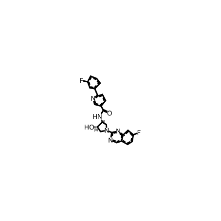 O=C(N[C@@H]1CN(c2ncc3ccc(F)cc3n2)C[C@H]1O)c1ccc(-c2cccc(F)c2)nc1